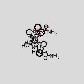 COc1ccc(N2[C@@H](C3CCCN3[C@@]3(C(=O)NC(=O)O)c4ccc(cc4)C3(C)CC(N)=O)CC[C@@H]2C2CCCN2[C@@]2(C(=O)NC(=O)O)c3ccc(cc3)C2(C)CC(N)=O)cc1